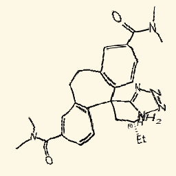 CC[C@@H](N)CC1(c2nnn[nH]2)c2ccc(C(=O)N(C)C)cc2CCc2cc(C(=O)N(C)C)ccc21